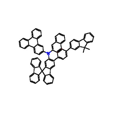 CC1(C)c2ccccc2-c2ccc(-c3ccc(-c4cc5c(cc4N(c4ccc6ccccc6c4)c4ccc6c7ccccc7c7ccccc7c6c4)C4(c6ccccc6-c6ccccc64)c4ccccc4-5)cc3)cc21